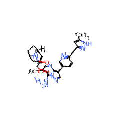 CC(=O)c1c([C@@H]2CC3CC[C@@H](C2)N3C(=O)CO)nc2c(-c3ccc(-c4cc(C)[nH]n4)nc3)cnn2c1N